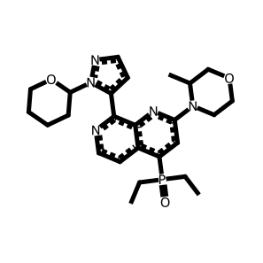 CCP(=O)(CC)c1cc(N2CCOCC2C)nc2c(-c3ccnn3C3CCCCO3)nccc12